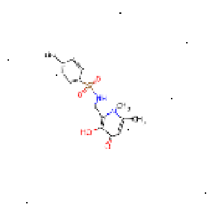 Cc1cc(=O)c(O)c(CNS(=O)(=O)c2ccc(C(C)(C)C)cc2)n1C